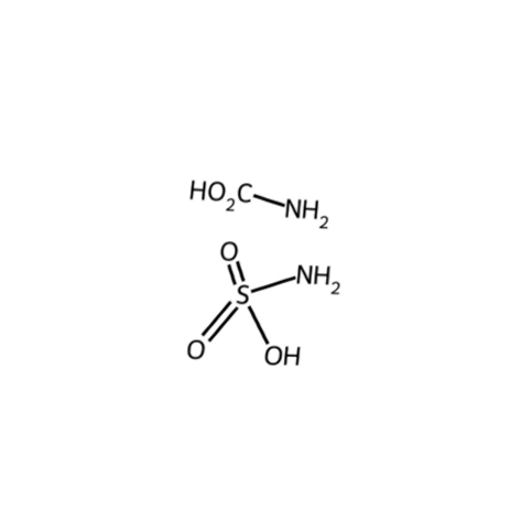 NC(=O)O.NS(=O)(=O)O